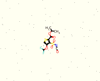 CC(C)OC(=O)c1scc(OC(F)F)c1S(=O)(=O)N=C=O